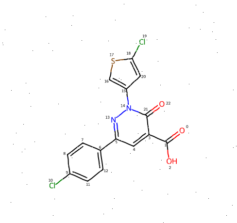 O=C(O)c1cc(-c2ccc(Cl)cc2)nn(-c2csc(Cl)c2)c1=O